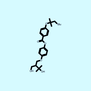 CC(C)(C)CC(C)(C)Oc1ccc(C(=O)Oc2ccc(OCC(CO)C(C)(C)O)cc2)cc1